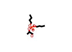 CCCCOP(=O)(OCCCC)OC(C)[C]=O